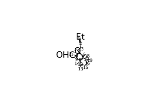 CCC#CCOc1cc2c(cc1C=O)C(C)(C)CCC2(C)C